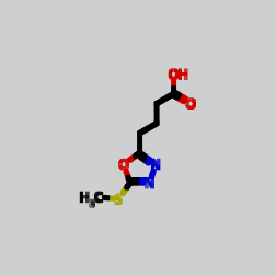 CSc1nnc(CCCC(=O)O)o1